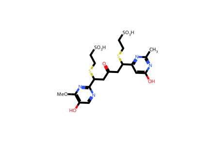 COc1nc(C(CC(=O)CC(SCCS(=O)(=O)O)c2cc(O)nc(C)n2)SCCS(=O)(=O)O)ncc1O